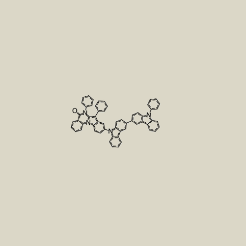 O=c1c2ccccc2n2c3ccc(-n4c5ccccc5c5cc(-c6ccc7c(c6)c6ccccc6n7-c6ccccc6)ccc54)cc3c(-c3ccccc3)c2n1-c1ccccc1